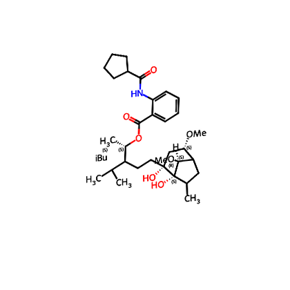 CC[C@H](C)C(C)(C)C(CC[C@@]1(O)C[C@H](OC)C2CC(C)[C@]1(O)[C@H]2OC)[C@H](C)OC(=O)c1ccccc1NC(=O)C1CCCC1